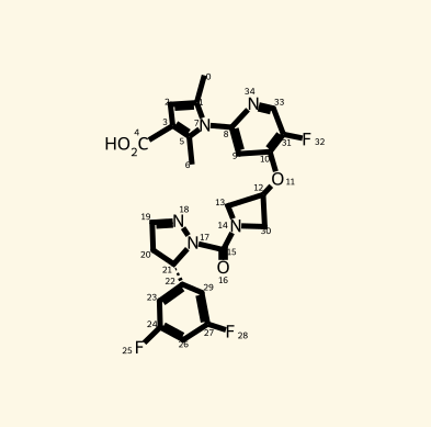 Cc1cc(C(=O)O)c(C)n1-c1cc(OC2CN(C(=O)N3N=CC[C@H]3c3cc(F)cc(F)c3)C2)c(F)cn1